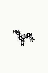 Cc1cn(-c2nccc3[nH]c(-c4n[nH]c5cnc(C6=CCNCC6)cc45)cc23)cn1